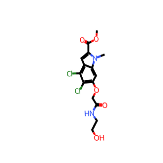 COC(=O)c1cc2c(Cl)c(Cl)c(OCC(=O)NCCO)cc2n1C